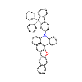 C1=CCCC(C2(c3ccccc3)c3ccccc3-c3ccc(N(c4ccccc4)c4ccccc4-c4cccc5c4oc4cc6ccccc6cc45)cc32)=C1